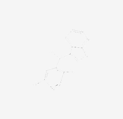 OC(c1cc(Cl)ncc1Br)c1c[nH]c2ncccc12